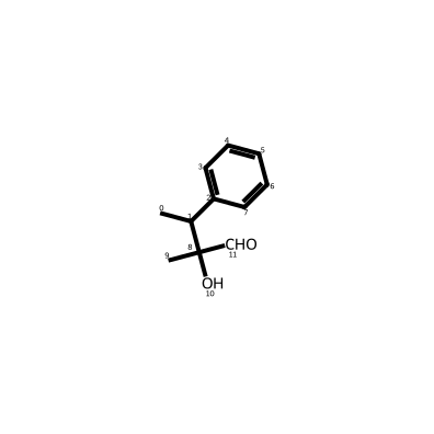 CC(c1ccccc1)C(C)(O)C=O